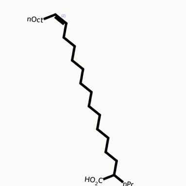 CCCCCCCC/C=C\CCCCCCCCCCCCC(CCC)C(=O)O